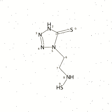 S=c1[nH]nnn1CCNS